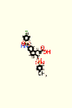 Cc1ccc(S(=O)(=O)OCCc2ccc3c(c2CCC(=O)O)CCC(NS(=O)(=O)c2ccc(Cl)cc2)C3)cc1